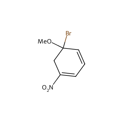 COC1(Br)C=CC=C([N+](=O)[O-])C1